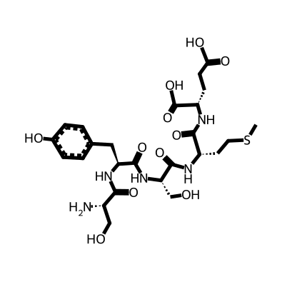 CSCC[C@H](NC(=O)[C@H](CO)NC(=O)[C@H](Cc1ccc(O)cc1)NC(=O)[C@@H](N)CO)C(=O)N[C@@H](CCC(=O)O)C(=O)O